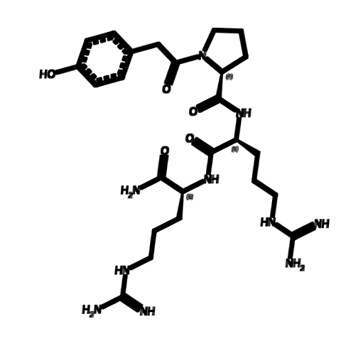 N=C(N)NCCC[C@H](NC(=O)[C@H](CCCNC(=N)N)NC(=O)[C@@H]1CCCN1C(=O)Cc1ccc(O)cc1)C(N)=O